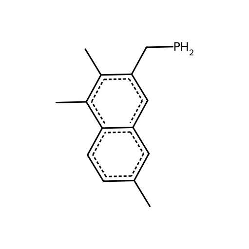 Cc1ccc2c(C)c(C)c(CP)cc2c1